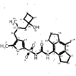 Cc1oc(S(=O)(=O)NC(=O)Nc2c3c(c(F)c4c2CCC4)CCC3)cc1CN(C)CC1(O)CCC1